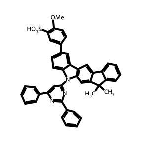 COc1ccc(-c2ccc3c(c2)c2cc4c(cc2n3-c2cc(-c3ccccc3)nc(-c3ccccc3)n2)C(C)(C)c2ccccc2-4)cc1S(=O)(=O)O